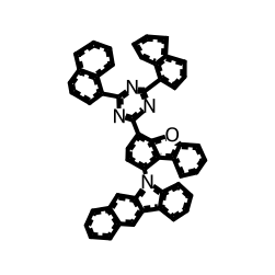 c1ccc2cc3c(cc2c1)c1ccccc1n3-c1ccc(-c2nc(-c3cccc4ccccc34)nc(-c3cccc4ccccc34)n2)c2oc3ccccc3c12